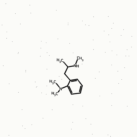 CNC(C)Cc1ccccc1N(C)C